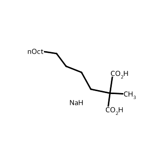 CCCCCCCCCCCCC(C)(C(=O)O)C(=O)O.[NaH]